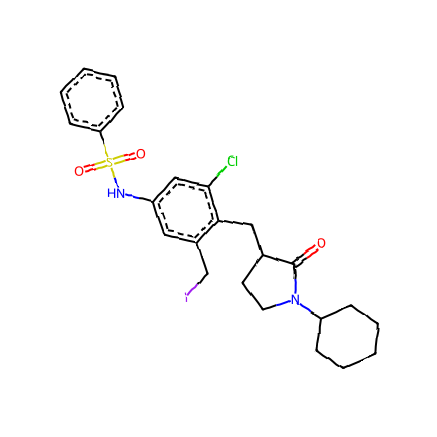 O=C1C(Cc2c(Cl)cc(NS(=O)(=O)c3ccccc3)cc2CI)CCN1C1CCCCC1